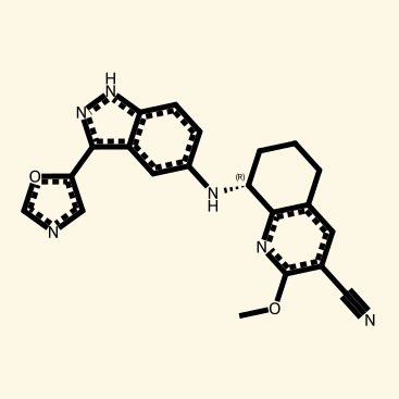 COc1nc2c(cc1C#N)CCC[C@H]2Nc1ccc2[nH]nc(-c3cnco3)c2c1